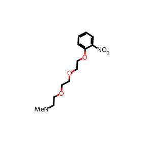 CNCCOCCOCCOc1ccccc1[N+](=O)[O-]